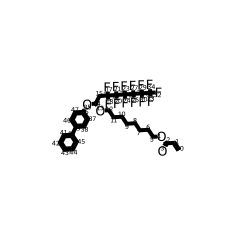 C=CC(=O)OCCCCCCCCOC(CC(F)(F)C(F)(F)C(F)(F)C(F)(F)C(F)(F)C(F)(F)F)Oc1ccc(-c2ccccc2)cc1